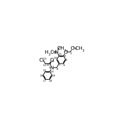 COCOc1ccc(CN(C(=O)CCl)c2ccccc2)cc1N(C)C